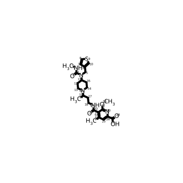 CNC(=O)N(Cc1ccsc1)C1CCN(C(C)CCNC(=O)c2c(C)cc(C(=O)O)nc2OC)CC1